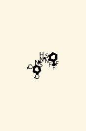 COc1cc(OC)c2nc(Nc3nc4c(C(F)(F)F)cccc4s3)sc2c1